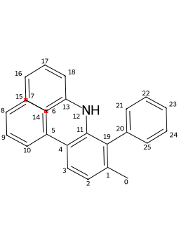 Cc1ccc(-c2ccccc2)c(Nc2ccccc2)c1-c1ccccc1